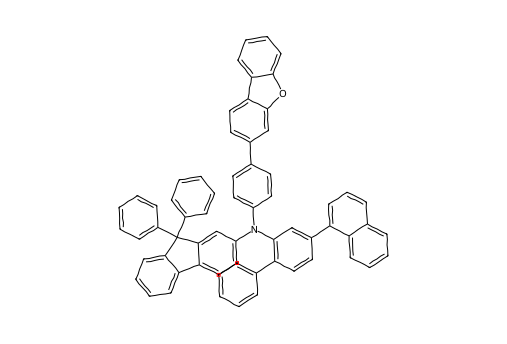 c1ccc(-c2ccc(-c3cccc4ccccc34)cc2N(c2ccc(-c3ccc4c(c3)oc3ccccc34)cc2)c2ccc3c(c2)C(c2ccccc2)(c2ccccc2)c2ccccc2-3)cc1